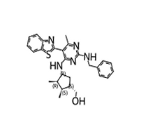 Cc1nc(NCc2ccccc2)nc(N[C@@H]2C[C@H](CO)[C@@H](C)[C@H]2C)c1-c1nc2ccccc2s1